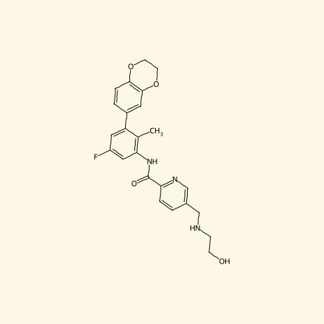 Cc1c(NC(=O)c2ccc(CNCCO)cn2)cc(F)cc1-c1ccc2c(c1)OCCO2